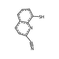 N#Cc1ccc2cccc(S)c2n1